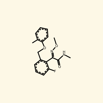 CNC(=O)C(=NOC)c1c(F)cccc1COc1ccccc1C